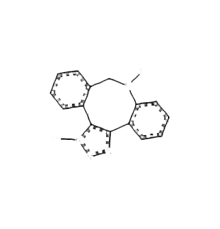 CCN1Cc2ccccc2-c2c(nnn2C(C)C)-c2ccccc21